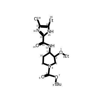 CCOC1CN(C(=O)OC(C)(C)C)CCC1NC(=O)c1nc(Cl)c(CC)[nH]1